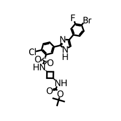 CC(C)(C)OC(=O)N[C@H]1C[C@H](NS(=O)(=O)c2cc(-c3nc(-c4ccc(Br)c(F)c4)c[nH]3)ccc2Cl)C1